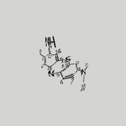 Cc1cc2nc3ccc(N(C)C)cc3sc-2cc1=N